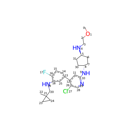 COCCN[C@H]1CC[C@H](Nc2cc(-c3ccc(F)c(NCC4(C)CC4)c3)c(Cl)cn2)CC1